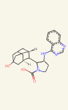 O=C(O)N1CCC(Nc2ncnc3ccccc23)C1C1[C@@H]2CC3C[C@H]1CC(O)(C3)C2